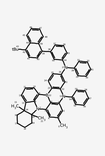 Cc1cc2c3c(c1)N1c4c(cccc4C4(C)CCCCC14C)B3c1ccc(N(c3ccccc3)c3cccc(-c4ccc(C(C)(C)C)c5ccccc45)c3)cc1N2c1ccccc1